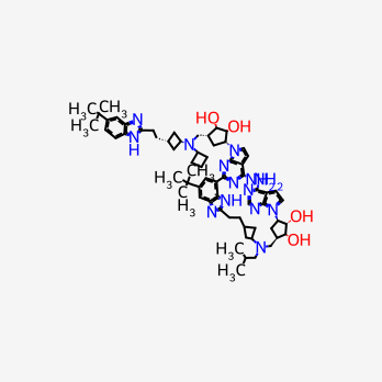 CC(C)CN(C[C@H]1C[C@@H](n2ccc3c(N)ncnc32)[C@H](O)[C@@H]1O)C1CC(CCc2nc3cc(C(C)(C)C)cc(-c4nc(N)c5ccn([C@@H]6C[C@H](CN(C7CCC7)[C@H]7C[C@@H](CCc8nc9cc(C(C)(C)C)ccc9[nH]8)C7)[C@@H](O)[C@H]6O)c5n4)c3[nH]2)C1